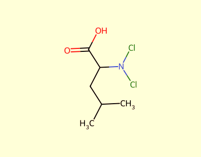 CC(C)CC(C(=O)O)N(Cl)Cl